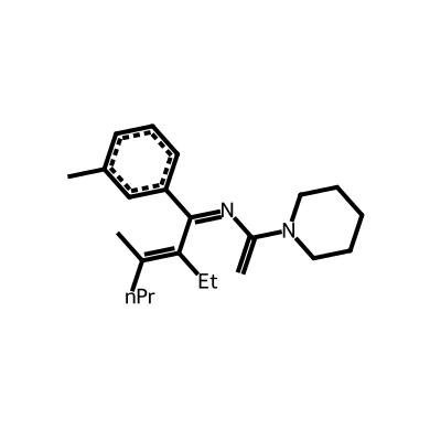 C=C(/N=C(\C(CC)=C(/C)CCC)c1cccc(C)c1)N1CCCCC1